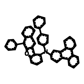 c1ccc(-c2ccc(N(c3ccc4c5ccccc5c5ccccc5c4c3)c3cccc4oc5c(-c6ccccc6)c6ccccc6cc5c34)cc2)cc1